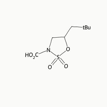 CC(C)(C)CC1CN(C(=O)O)S(=O)(=O)O1